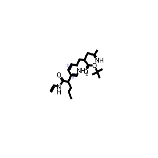 C=CNC(=O)C(CCC)C(/C=C\CCC(CC(C)=N)C(=O)OC(C)(C)C)=C/N